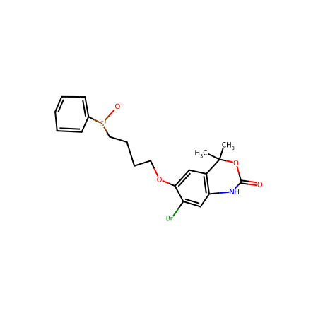 CC1(C)OC(=O)Nc2cc(Br)c(OCCCC[S+]([O-])c3ccccc3)cc21